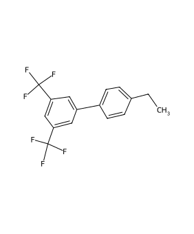 CCc1ccc(-c2cc(C(F)(F)F)cc(C(F)(F)F)c2)cc1